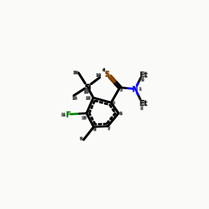 CCN(CC)C(=S)c1ccc(C)c(F)c1[Si](C)(C)C